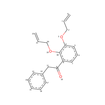 C=CCOc1cccc(C(=O)Cc2ccccc2)c1OCC=C